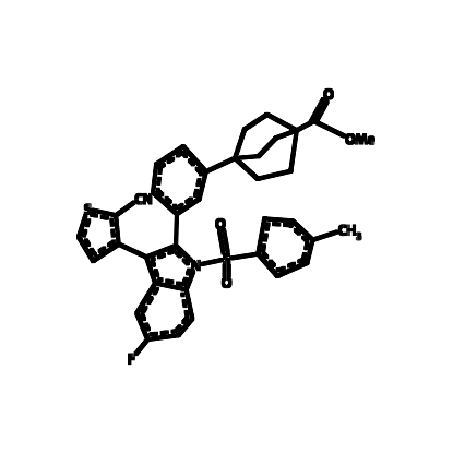 COC(=O)C12CCC(c3cccc(-c4c(-c5ccsc5C#N)c5cc(F)ccc5n4S(=O)(=O)c4ccc(C)cc4)c3)(CC1)CC2